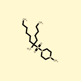 CCCCCCC(C)(CCCCC)S(=O)(=O)N1CCN(C)CC1